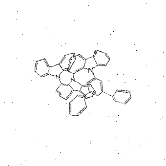 c1ccc(-c2cc(-c3ccccc3)cc(-n3c4ccccc4c4cccc(-n5c6ccccc6c6cccc(-n7c8ccccc8c8ccccc87)c65)c43)c2)cc1